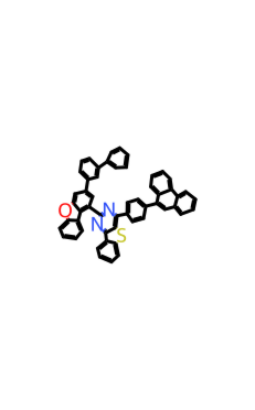 c1ccc(-c2cccc(-c3cc(-c4nc(-c5ccc(-c6cc7ccccc7c7ccccc67)cc5)c5sc6ccccc6c5n4)c4c(c3)oc3ccccc34)c2)cc1